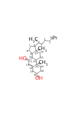 CC(C)CCC[C@@H](C)C1CCC2C3C(O)C=C4CC(O)CCC4(C)C3CCC21C